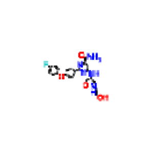 NC(=O)c1cc(N[C@H](C=O)CNCCO)nc(-c2ccc(Oc3ccc(F)cc3)cc2)n1